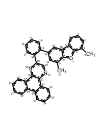 Cc1cccc2c1oc1c(C)cc(-c3ccccc3-c3cnc4c5ccccc5c5ccccc5c4n3)cc12